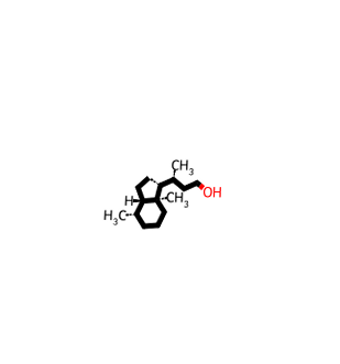 C[C@H](CCO)[C@H]1CC[C@H]2[C@@H](C)CCC[C@]12C